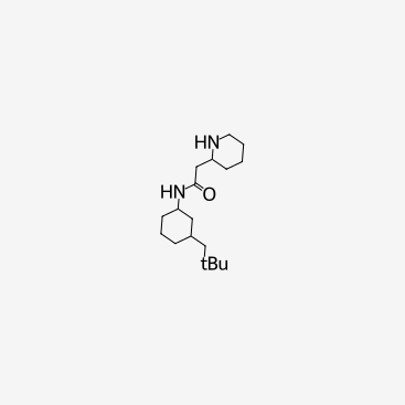 CC(C)(C)CC1CCCC(NC(=O)CC2CCCCN2)C1